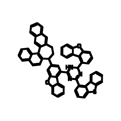 c1ccc2cc3c(cc2c1)CCC(c1cc(C2=NC(c4cccc5sc6ccccc6c45)=NC(c4cccc5oc6ccccc6c45)N2)c2c(c1)oc1ccccc12)c1ccc2ccccc2c1-3